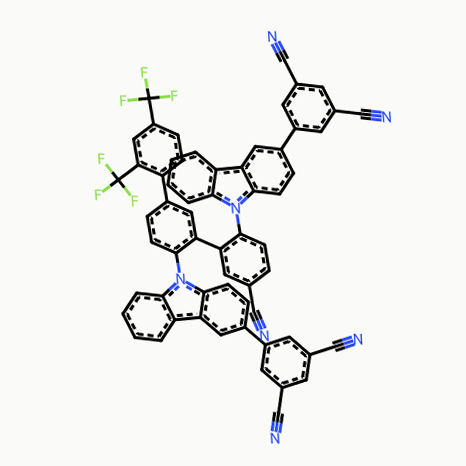 N#Cc1cc(C#N)cc(-c2ccc3c(c2)c2ccccc2n3-c2ccc(C#N)cc2-c2cc(-c3ccc(C(F)(F)F)cc3C(F)(F)F)ccc2-n2c3ccccc3c3cc(-c4cc(C#N)cc(C#N)c4)ccc32)c1